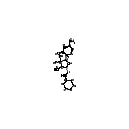 Nc1ccn([C@@H]2O[C@H](CNC3CCCCC3)[C@@H](O)C2(F)F)c(=O)n1